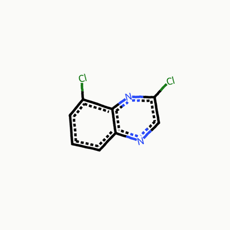 Clc1cnc2cccc(Cl)c2n1